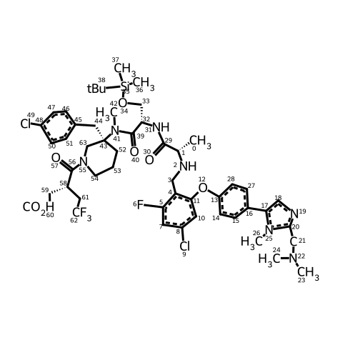 C[C@H](NCc1c(F)cc(Cl)cc1Oc1ccc(-c2cnc(CN(C)C)n2C)cc1)C(=O)N[C@@H](CO[Si](C)(C)C(C)(C)C)C(=O)N(C)[C@@]1(Cc2ccc(Cl)cc2)CCCN(C(=O)[C@@H](CC(=O)O)CC(F)(F)F)C1